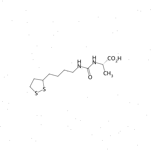 C[C@H](NC(=O)NCCCCC1CCSS1)C(=O)O